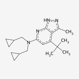 Cc1n[nH]c2nc(N(CC3CC3)CC3CC3)cc(C(C)(C)C)c12